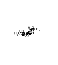 CC(C)NC(=O)N1CCc2sc(OC3CCN(C(C)C)CC3)cc2C1